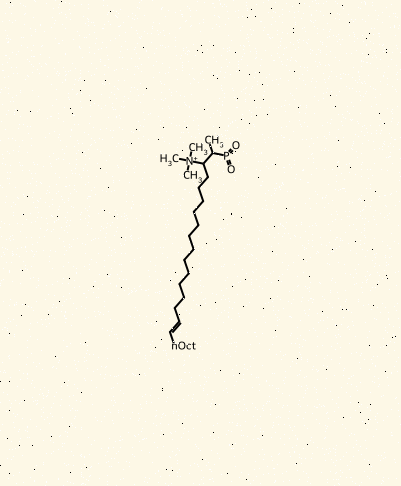 CCCCCCCCC=CCCCCCCCCCCCCC(C(C)P(=O)=O)[N+](C)(C)C